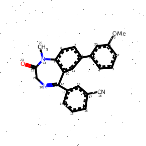 COc1cccc(-c2ccc3c(c2)C(c2cccc(C#N)c2)=NCC(=O)N3C)c1